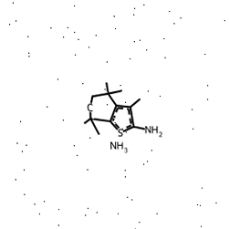 Cc1c(N)sc2c1C(C)(C)CCC2(C)C.N